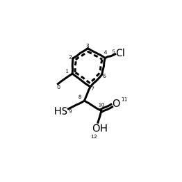 Cc1ccc(Cl)cc1C(S)C(=O)O